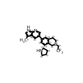 Cc1c[nH]c2ncc(-c3cc4c(c([C@@H]5CCCN5)c3)CN(CC(F)(F)F)CC4)cc12